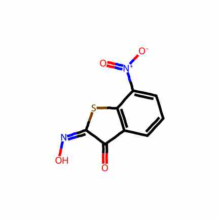 O=C1/C(=N\O)Sc2c1cccc2[N+](=O)[O-]